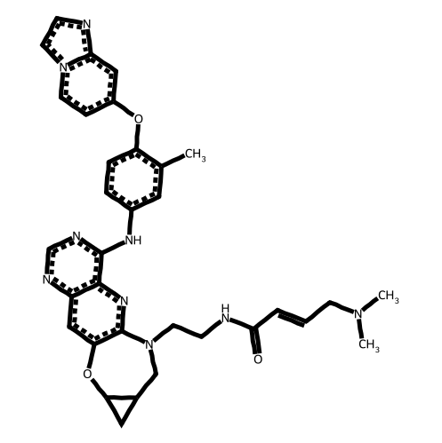 Cc1cc(Nc2ncnc3cc4c(nc23)N(CCNC(=O)/C=C/CN(C)C)CC2CC2O4)ccc1Oc1ccn2ccnc2c1